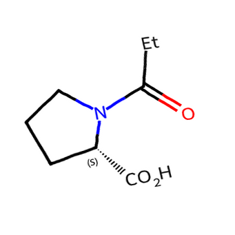 CCC(=O)N1CCC[C@H]1C(=O)O